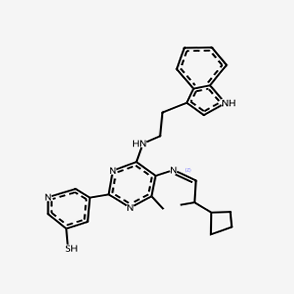 Cc1nc(-c2cncc(S)c2)nc(NCCc2c[nH]c3ccccc23)c1/N=C\C(C)C1CCC1